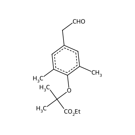 CCOC(=O)C(C)(C)Oc1c(C)cc(CC=O)cc1C